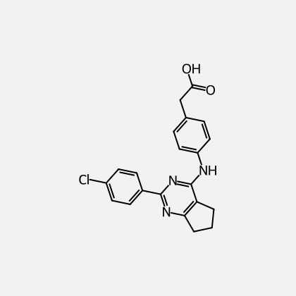 O=C(O)Cc1ccc(Nc2nc(-c3ccc(Cl)cc3)nc3c2CCC3)cc1